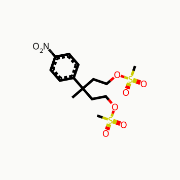 CC(CCOS(C)(=O)=O)(CCOS(C)(=O)=O)c1ccc([N+](=O)[O-])cc1